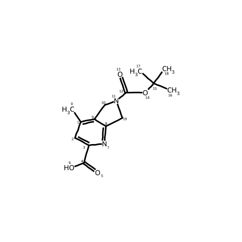 Cc1cc(C(=O)O)nc2c1CN(C(=O)OC(C)(C)C)C2